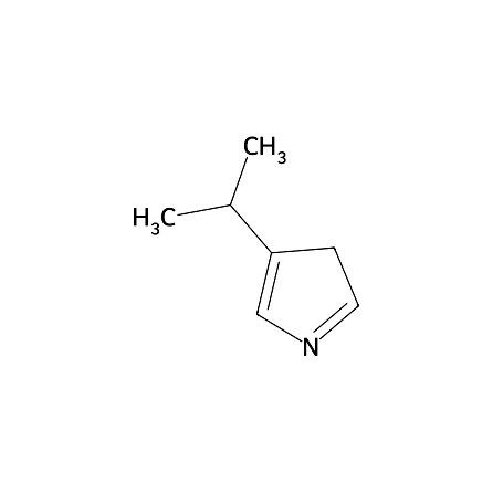 CC(C)C1=CN=CC1